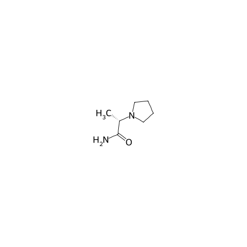 C[C@@H](C(N)=O)N1CCCC1